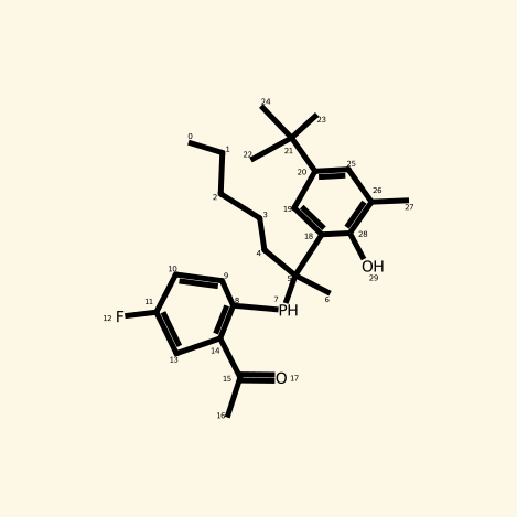 CCCCCC(C)(Pc1ccc(F)cc1C(C)=O)c1cc(C(C)(C)C)cc(C)c1O